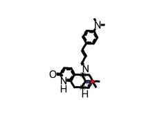 C/C=C1\[C@H]2C=C(C)C[C@]1(N=CC=Cc1ccc(N(C)C)cc1)c1ccc(=O)[nH]c1C2